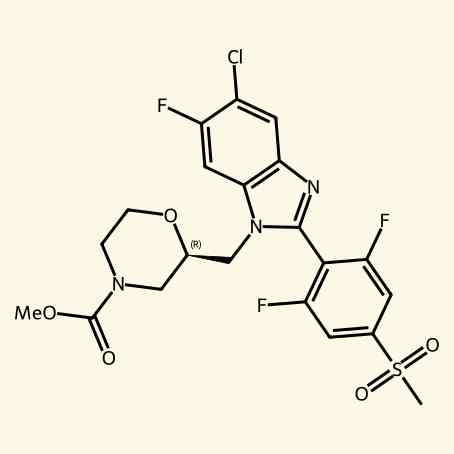 COC(=O)N1CCO[C@@H](Cn2c(-c3c(F)cc(S(C)(=O)=O)cc3F)nc3cc(Cl)c(F)cc32)C1